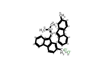 Cc1ccc2c(c1)[C]([Zr+2]([C]1=C3C=CC=CC3c3ccc(C)cc31)=[Si](C)C)=C1C=CC=CC12.[Cl-].[Cl-]